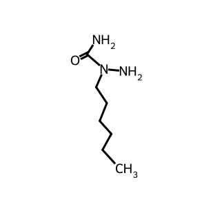 CCCCCCN(N)C(N)=O